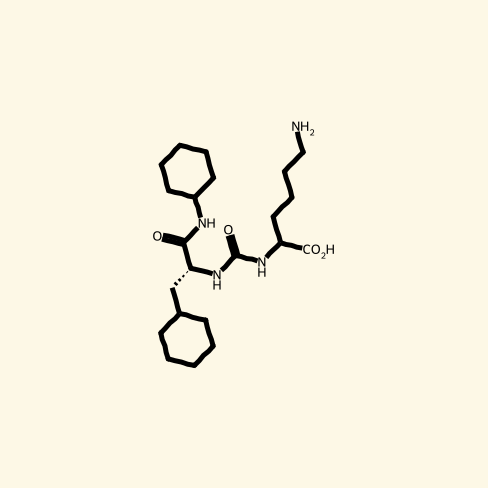 NCCCCC(NC(=O)N[C@H](CC1CCCCC1)C(=O)NC1CCCCC1)C(=O)O